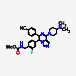 COC(=O)NCc1ccc(-c2c(-c3ccc(C#N)cc3)nc(N3CCC(N(C)C)CC3)c3cncn23)cc1F